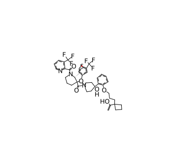 C=C(O)C1(CCCOc2ccccc2C2(O)CCN(C(=O)[C@]3(Oc4csc(C(F)(F)F)c4)CCCN(C(=O)c4ncccc4C(F)(F)F)[C@@H]3CCC)CC2)CCC1